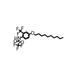 CCCCCCCCCCOc1ccc(NS(=O)(=O)C(F)(F)F)c(C(F)(F)F)c1